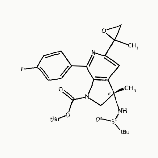 CC(C)(C)OC(=O)N1C[C@@](C)(N[S+]([O-])C(C)(C)C)c2cc(C3(C)CO3)nc(-c3ccc(F)cc3)c21